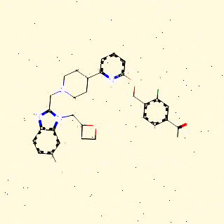 CC(C)C(=O)c1ccc(COc2cccc(C3CCN(Cc4nc5ccc(C(=O)O)cc5n4CC4CCO4)CC3)n2)c(F)c1